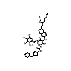 C=CCCCC(CCC1C=c2ccc(NC(C(=O)N/N=C/c3cc(Br)c(O)c(Br)c3O)C(=O)NNC(=S)Nc3ccc(Cc4ccccc4)cc3)cc2=CC1)N=C=S